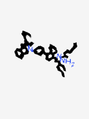 C=C/C=C\C(=C/C)C/C=C(\N=C(/N)C(=C)/C=C\C=C/C)c1ccc(-c2ccc(-n3c(C)c(/C=C\C)c4cc5ccccc5cc43)cc2)c2ccccc12